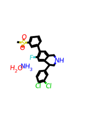 CS(=O)(=O)c1cccc(-c2cc3c(cc2F)C(c2ccc(Cl)c(Cl)c2)CNC3)c1.N.O